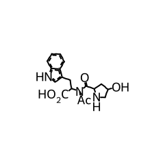 CC(=O)N(C(=O)C1CC(O)CN1)C(Cc1c[nH]c2ccccc12)C(=O)O